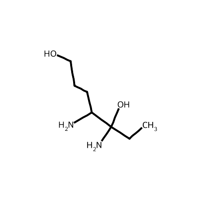 CCC(N)(O)C(N)CCCO